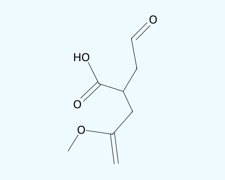 C=C(CC(CC=O)C(=O)O)OC